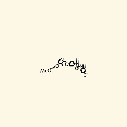 COCCCOc1ccnc(COc2ccc(NC(=O)Nc3ccc(Cl)cc3)cc2)c1C